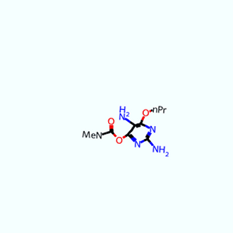 CCCOc1nc(N)nc(OC(=O)NC)c1N